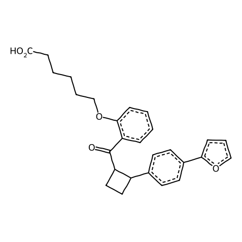 O=C(O)CCCCCOc1ccccc1C(=O)C1CCC1c1ccc(-c2ccco2)cc1